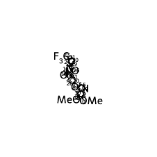 COc1cc2nccc(O[C@H]3CC[C@H](N4C(=O)CN(c5cccc(C(F)(F)F)c5)C4=O)CC3)c2cc1OC